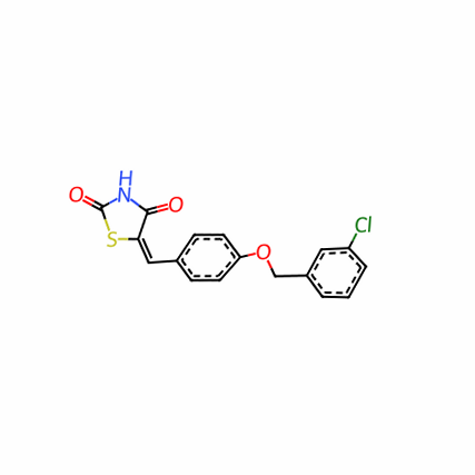 O=C1NC(=O)/C(=C\c2ccc(OCc3cccc(Cl)c3)cc2)S1